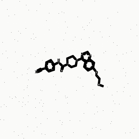 COCCOc1ccc2c(N3CCN(C(=O)Nc4ccc(C#N)cc4)CC3)ncnc2c1